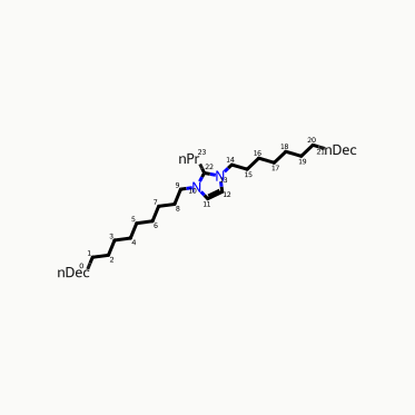 CCCCCCCCCCCCCCCCCCCN1C=CN(CCCCCCCCCCCCCCCCC)C1CCC